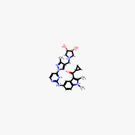 Cc1nn(-c2ccnc(Nc3ccc4c(c3)c(C(=O)C3CC3)c(C)n4C)n2)cc1CN1C[C@@H](O)[C@@H](O)C1